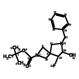 CC(C)(C)OC(=O)N1CC2(C1)CN(Cc1ccccc1)C(O)C2F